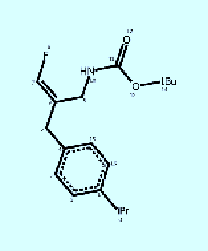 CC(C)c1ccc(CC(=CF)CNC(=O)OC(C)(C)C)cc1